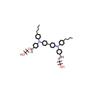 CCCCc1ccc(N(c2ccc(BOC(C)(C)C(C)(C)O)cc2)c2ccc(-c3ccc(N(c4ccc(BOC(C)(C)C(C)(C)O)cc4)c4ccc(CCCC)cc4)cc3)cc2)cc1